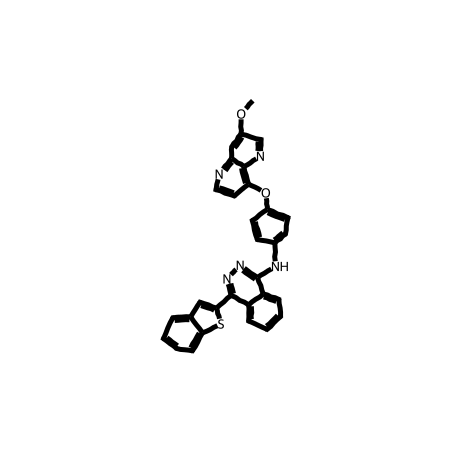 COc1cnc2c(Oc3ccc(Nc4nnc(-c5cc6ccccc6s5)c5ccccc45)cc3)ccnc2c1